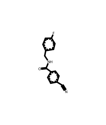 N#Cc1ccc(C(=O)NCc2ccc(F)cc2)cc1